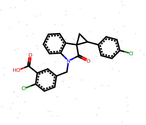 O=C(O)c1cc(CN2C(=O)C3(CC3c3ccc(Cl)cc3)c3ccccc32)ccc1Cl